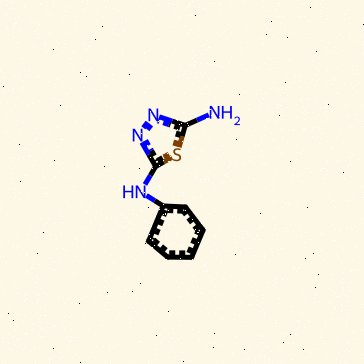 Nc1nnc(Nc2ccccc2)s1